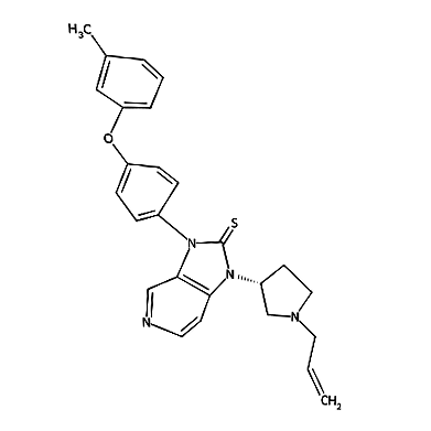 C=CCN1CC[C@@H](n2c(=S)n(-c3ccc(Oc4cccc(C)c4)cc3)c3cnccc32)C1